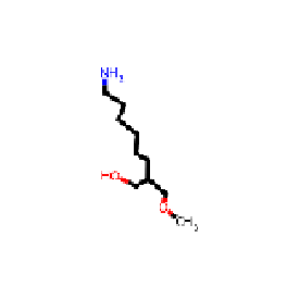 COCC(CO)CCCCCCN